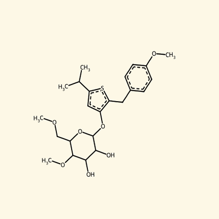 COCC1OC(Oc2cc(C(C)C)sc2Cc2ccc(OC)cc2)C(O)C(O)C1OC